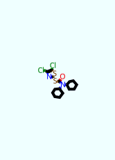 O=C(Sc1nc(Cl)c(Cl)s1)N(C1CCCCC1)C1CCCCC1